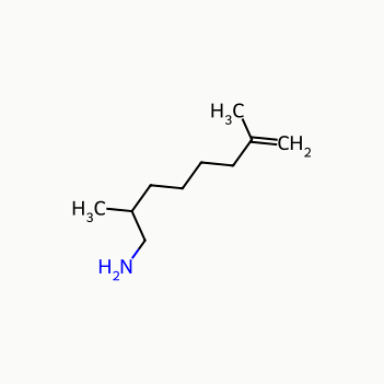 C=C(C)CCCCC(C)CN